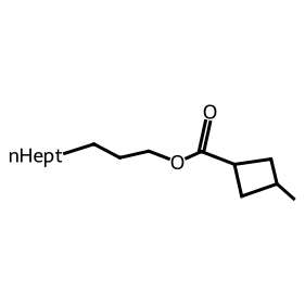 CCCCCCCCCCOC(=O)C1CC(C)C1